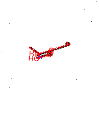 CCCCCCCC/C=C\CCCCCCCC(OCCCCCCCCCCCC1CCCCC1)O[Si](C)(C)OCCCCCCN(CCO)CCO